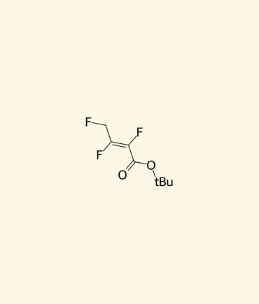 CC(C)(C)OC(=O)/C(F)=C(\F)CF